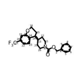 O=C(OCc1ccccc1)N1CCC(=C2CCOc3cc(C(F)(F)F)ccc32)CC1